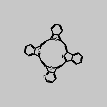 c1ccc2c(c1)-c1cc3sc(cc4nc(cc5sc(cc-2n1)c1cccnc51)-c1ccccc1-4)c1ccccc31